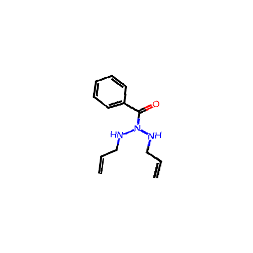 C=CCNN(NCC=C)C(=O)c1ccccc1